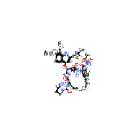 COc1ccc2c(O[C@@H]3C[C@H]4C(=O)N[C@]5(C(=O)NS(=O)(=O)C6CC6)C[C@H]5/C=C\CCCCC[C@H](NC(=O)N5CCCCC5)C(=O)N4C3)cc(-c3nc(C(C)C)cs3)nc2c1C